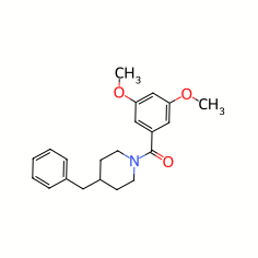 COc1cc(OC)cc(C(=O)N2CCC(Cc3ccccc3)CC2)c1